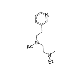 CCN(C)CCN(CCc1cccnc1)C(C)=O